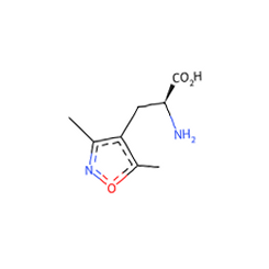 Cc1noc(C)c1C[C@H](N)C(=O)O